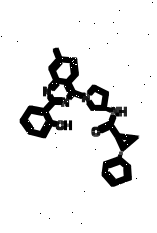 Cc1ccc2c(N3CC[C@@H](NC(=O)C4C[C@@H]4c4ccccc4)C3)nc(-c3ccccc3O)nc2c1